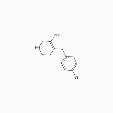 CCCC1=C(Cc2ccc(Cl)cc2)CCNC1